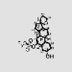 C[C@@]12C=C(OS(=O)(=O)C(F)(F)F)[C@H]3C[C@@H](O)CC[C@]3(C)[C@H]1CC[C@@]1(C)[C@H]2CCC12OCCO2